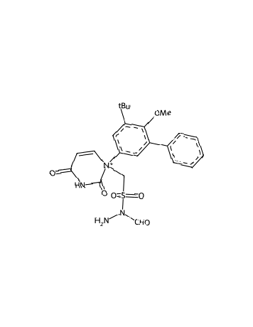 COc1c(-c2ccccc2)cc([N+]2(CS(=O)(=O)N(N)C=O)C=CC(=O)NC2=O)cc1C(C)(C)C